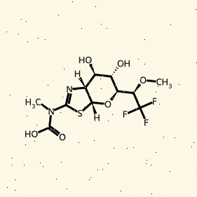 CO[C@H]([C@H]1O[C@@H]2SC(N(C)C(=O)O)=N[C@@H]2[C@@H](O)[C@@H]1O)C(F)(F)F